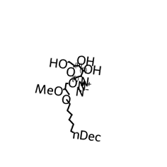 CCCCCCCCCCCCCCCCOCC(CO[C@@H]1OC(CO)[C@H](O)[C@H](O)C1N=[N+]=[N-])OC